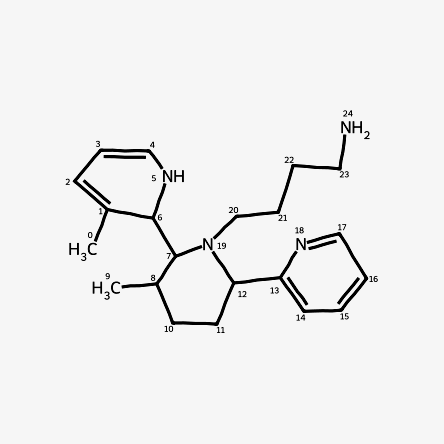 CC1=CC=CNC1C1C(C)CCC(c2ccccn2)N1CCCCN